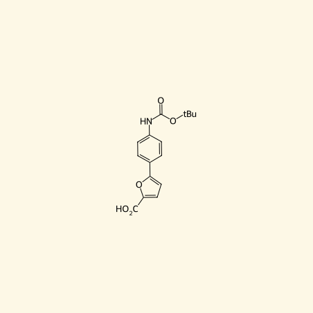 CC(C)(C)OC(=O)Nc1ccc(-c2ccc(C(=O)O)o2)cc1